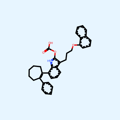 O=C(O)Oc1[nH]c2c(C3=C(c4ccccc4)CCCCC3)cccc2c1CCCOc1cccc2ccccc12